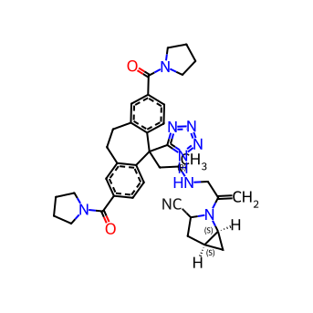 C=C(CN[C@H](C)CC1(c2nnn[nH]2)c2ccc(C(=O)N3CCCC3)cc2CCc2cc(C(=O)N3CCCC3)ccc21)N1C(C#N)C[C@@H]2C[C@@H]21